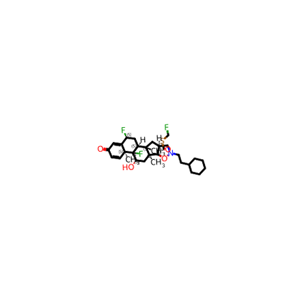 C[C@]12C[C@H](O)[C@@]3(F)[C@@H](C[C@H](F)C4=CC(=O)C=C[C@@]43C)[C@]1(C)C[C@H]1CN(CCC3CCCCC3)O[C@]12C(=O)SCF